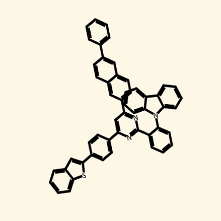 c1ccc(-c2ccc3cc(-c4cc(-c5ccc(-c6cc7ccccc7s6)cc5)nc(-c5ccccc5-n5c6ccccc6c6ccccc65)n4)ccc3c2)cc1